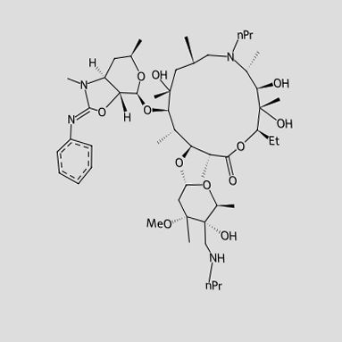 CCCNC[C@]1(O)[C@H](C)O[C@@H](O[C@H]2[C@H](C)[C@@H](O[C@@H]3O[C@H](C)C[C@H]4[C@H]3O/C(=N\c3ccccc3)N4C)[C@](C)(O)C[C@@H](C)CN(CCC)[C@H](C)[C@@H](O)[C@](C)(O)[C@@H](CC)OC(=O)[C@@H]2C)C[C@@]1(C)OC